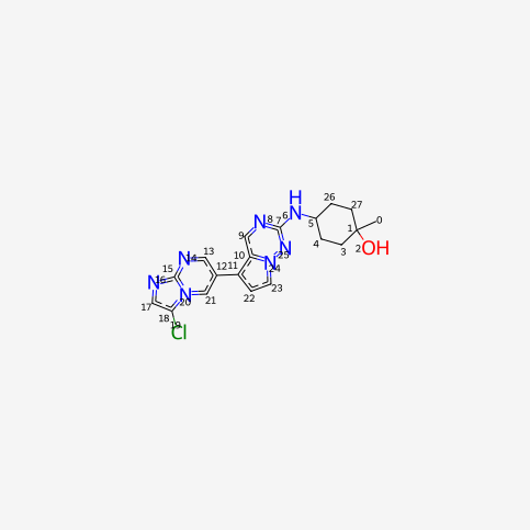 CC1(O)CCC(Nc2ncc3c(-c4cnc5ncc(Cl)n5c4)ccn3n2)CC1